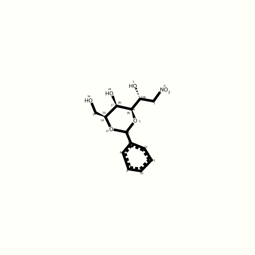 O=[N+]([O-])C[C@@H](O)[C@H]1OC(c2ccccc2)O[C@@H](CO)[C@H]1O